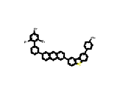 CC(C)c1cc(C(C)C)c(-c2cccc(-c3ccc4cc5cc(-c6ccc7sc8ccc(-c9ccc(C(C)(C)C)cc9)cc8c7c6)ccc5cc4c3)c2)c(C(C)C)c1